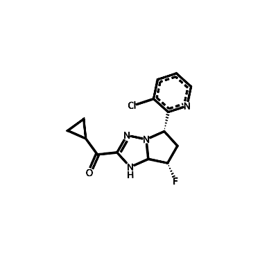 O=C(C1=NN2C(N1)[C@@H](F)C[C@H]2c1ncccc1Cl)C1CC1